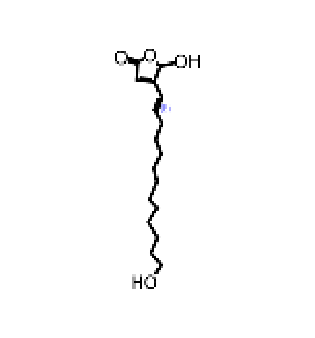 O=C1C=C(/C=C/CCCCCCCCCCCO)C(O)O1